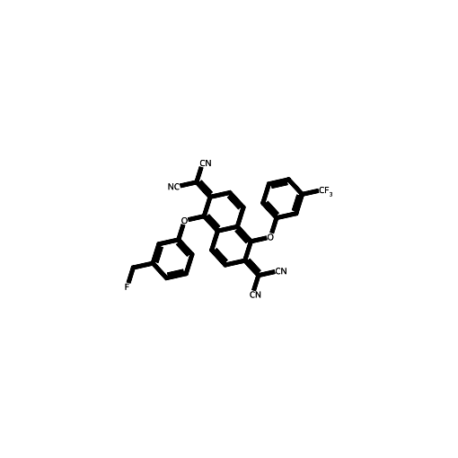 N#CC(C#N)=c1ccc2c(Oc3cccc(C(F)(F)F)c3)c(=C(C#N)C#N)ccc2c1Oc1cccc(CF)c1